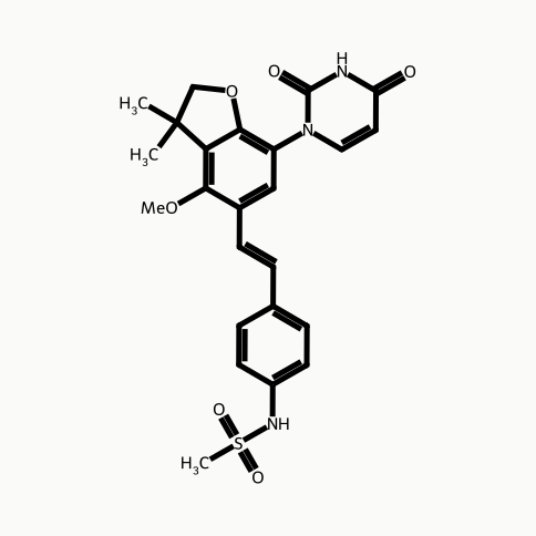 COc1c(C=Cc2ccc(NS(C)(=O)=O)cc2)cc(-n2ccc(=O)[nH]c2=O)c2c1C(C)(C)CO2